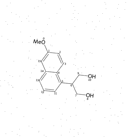 COc1ccc2c(C(CO)CO)cccc2c1